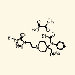 CCC(=O)N(c1ccccc1)C1(COC)CCN(CCn2nnn(CC)c2=O)CC1.O=C(O)C(=O)O